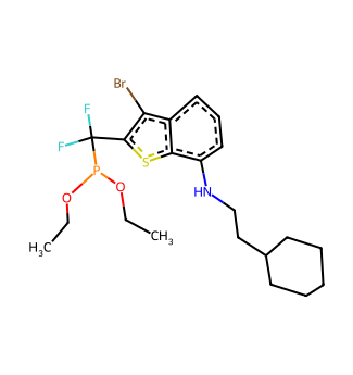 CCOP(OCC)C(F)(F)c1sc2c(NCCC3CCCCC3)cccc2c1Br